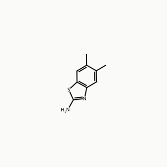 Cc1[c]c2nc(N)sc2cc1C